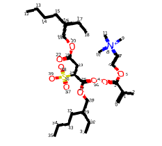 C=C(C)C(=O)OCC[N+](C)(C)C.CCCCC(CC)COC(=O)CC(C(=O)OCC(CC)CCCC)S(=O)(=O)[O-]